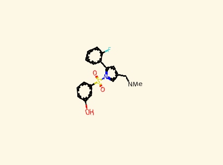 CNCc1cc(-c2ccccc2F)n(S(=O)(=O)c2cccc(O)c2)c1